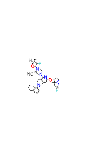 C=C(F)C(=O)N1CCN(c2nc(OCC34CCCN3C[C@H](F)C4)cc3c2CCN(c2cccc4c2CCCC4)C3)C[C@@H]1CC#N